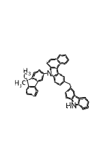 CC1(C)c2ccccc2-c2cc(-n3c4ccc(Cc5ccc6[nH]c7ccccc7c6c5)cc4c4c5ccccc5ccc43)ccc21